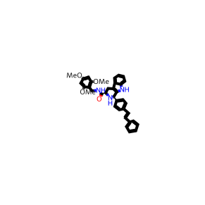 COc1cc(OC)c(CNC(=O)[C@H]2Cc3c([nH]c4ccccc34)[C@@H](c3ccc(/C=C/c4ccccc4)cc3)N2)c(OC)c1